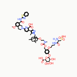 COc1ccc(C(=O)Nc2nc3ccccc3s2)c2c1CCN(c1ccc(-c3cnn(CC45CC6(C)CC(C)(C4)CC(OCCN(C)C(=O)OCc4ccc(O[C@@H]7O[C@H](C(=O)O)[C@@H](O)[C@H](O)[C@H]7O)cc4OCCCNC(=O)C(N)CS(=O)(=O)O)(C6)C5)c3C)c(C(=O)O)n1)C2